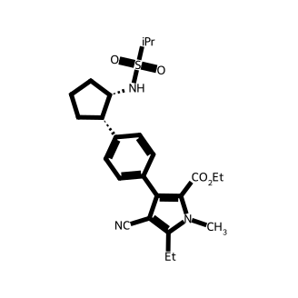 CCOC(=O)c1c(-c2ccc([C@@H]3CCC[C@@H]3NS(=O)(=O)C(C)C)cc2)c(C#N)c(CC)n1C